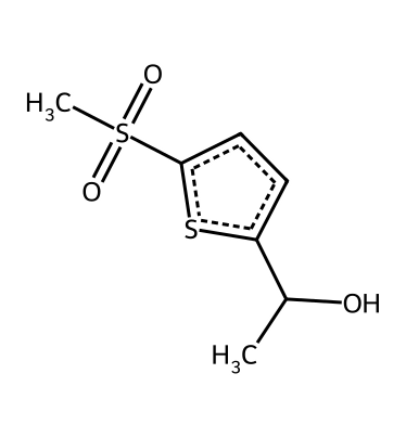 CC(O)c1ccc(S(C)(=O)=O)s1